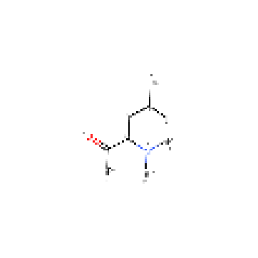 CC(C)C(=O)C(CC(C)C(C)C)N(C(C)C)C(C)C